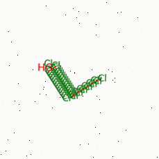 ClCCl.ClCCl.ClCCl.ClCCl.ClCCl.ClCCl.ClCCl.ClCCl.ClCCl.ClCCl.ClCCl.ClCCl.ClCCl.ClCCl.ClCCl.ClCCl.ClCCl.ClCCl.ClCCl.ClCCl.OCC(Cl)Cl